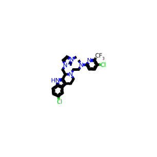 CN(CCN1CCc2c([nH]c3ccc(Cl)cc23)C1C[n+]1ccn(C)c1)c1ccc(Cl)c(C(F)(F)F)n1